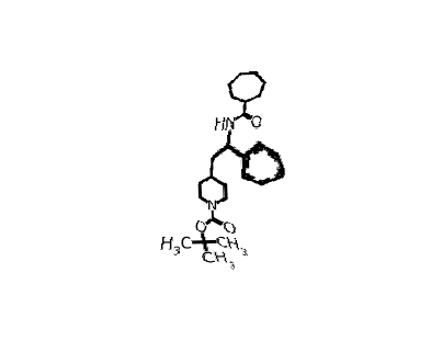 CC(C)(C)OC(=O)N1CCC(CC(NC(=O)C2CCCCCC2)c2ccccc2)CC1